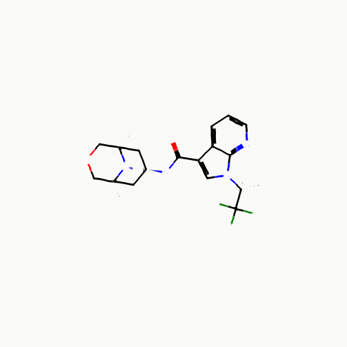 CN1[C@@H]2COC[C@H]1C[C@@H](NC(=O)c1cn([C@H](F)C(F)(F)F)c3ncccc13)C2